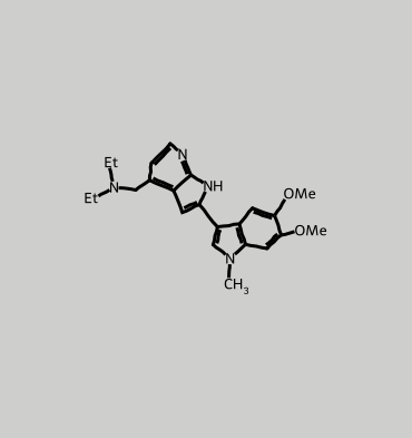 CCN(CC)Cc1ccnc2[nH]c(-c3cn(C)c4cc(OC)c(OC)cc34)cc12